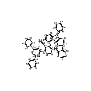 N#Cc1cc(-n2c3ccccc3c3ccc4c(c5ccccc5n4-c4ccccc4)c32)ccc1-c1cc(-c2ccccc2)nc(-c2ccccc2)n1